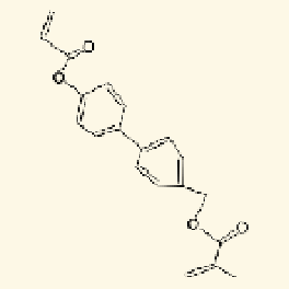 C=CC(=O)Oc1ccc(-c2ccc(COC(=O)C(=C)C)cc2)cc1